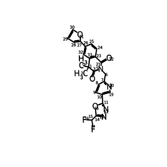 CC1(C)C(=O)N(Cc2ccc(-c3nnc(C(F)F)o3)cn2)C(=O)c2ccc(-c3ccco3)cc21